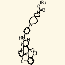 CC(C)(C)OC(=O)N1CC2(CCN(c3ccc(Nc4ncc5c(=O)n(-c6c(Cl)cccc6Cl)c6nccn6c5n4)cc3)CC2)C1